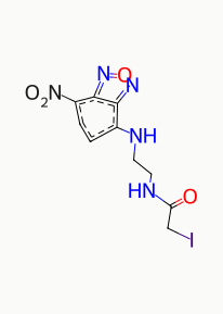 O=C(CI)NCCNc1ccc([N+](=O)[O-])c2nonc12